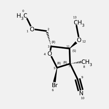 COC[C@H]1O[C@H](Br)[C@](C)(C#N)[C@@H]1OC